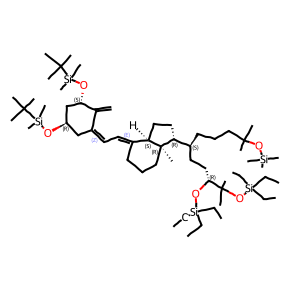 C=C1/C(=C\C=C2/CCC[C@@]3(C)[C@@H]2CC[C@@H]3[C@@H](CCCC(C)(C)O[Si](C)(C)C)CC[C@@H](O[Si](CC)(CC)CC)C(C)(C)O[Si](CC)(CC)CC)C[C@@H](O[Si](C)(C)C(C)(C)C)C[C@@H]1O[Si](C)(C)C(C)(C)C